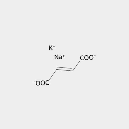 O=C([O-])C=CC(=O)[O-].[K+].[Na+]